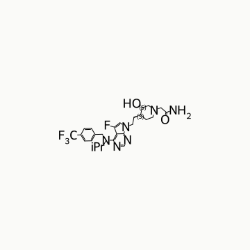 CC(C)N(Cc1ccc(C(F)(F)F)cc1)c1ncnc2c1c(F)cn2CC[C@@H]1CCN(CC(N)=O)C[C@H]1O